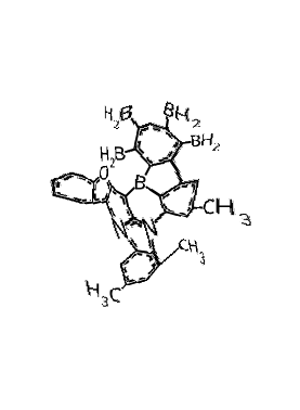 Bc1c(B)c(B)c2c(c1B)B1c3c-2cc(C)cc3-n2c3c(C)cc(C)cc3n3c4c(oc5ccccc54)c1c23